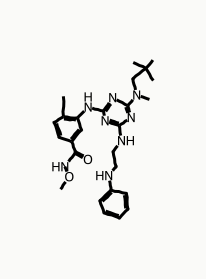 CONC(=O)c1ccc(C)c(Nc2nc(NCCNc3ccccc3)nc(N(C)CC(C)(C)C)n2)c1